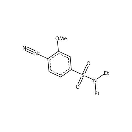 CCN(CC)S(=O)(=O)c1ccc([N+]#N)c(OC)c1